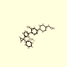 Cn1c(-c2ccc(N3CCC(CO)CC3)cc2Cl)nnc1C1(c2ccccc2)CC1